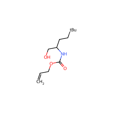 C=CCOC(=O)NC(CO)CCC(C)(C)C